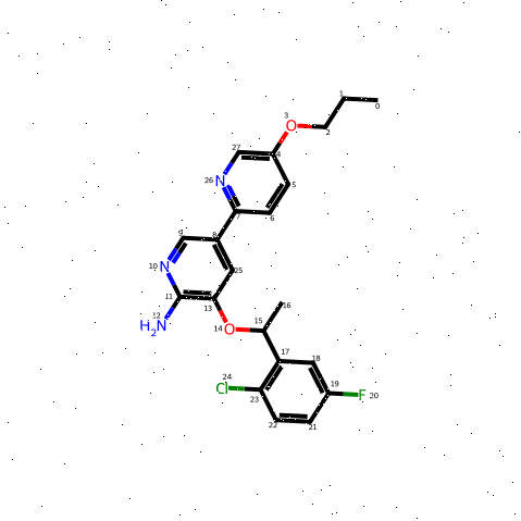 CCCOc1ccc(-c2cnc(N)c(OC(C)c3cc(F)ccc3Cl)c2)nc1